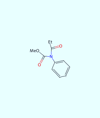 CCC(=O)N(C(=O)OC)c1cc[c]cc1